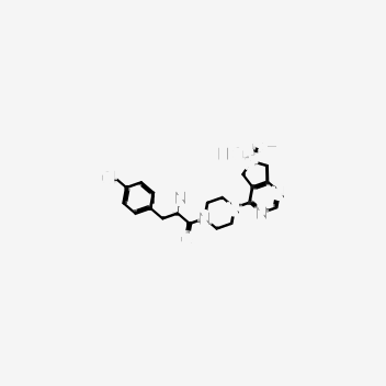 N[C@H](Cc1ccc(Cl)cc1)C(=O)N1CCN(c2ncnc3c2CS(O)(O)C3)CC1